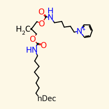 C=C(COC(=O)NCCCCCCCCCCCCCCCCCC)COC(=O)NCCCCC[n+]1ccccc1